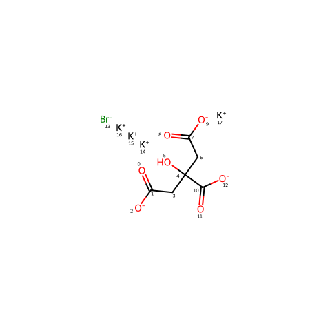 O=C([O-])CC(O)(CC(=O)[O-])C(=O)[O-].[Br-].[K+].[K+].[K+].[K+]